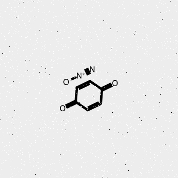 N#[N+][O-].O=C1C=CC(=O)C=C1